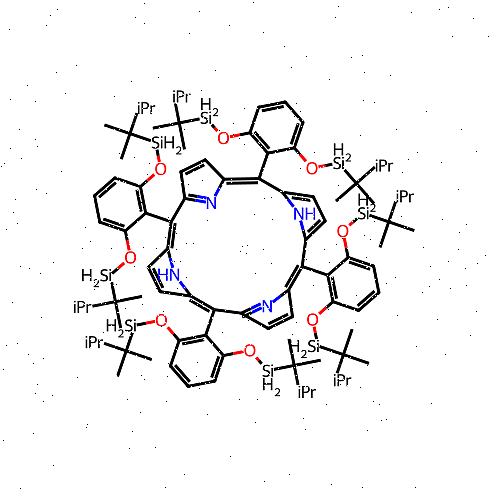 CC(C)C(C)(C)[SiH2]Oc1cccc(O[SiH2]C(C)(C)C(C)C)c1-c1c2nc(c(-c3c(O[SiH2]C(C)(C)C(C)C)cccc3O[SiH2]C(C)(C)C(C)C)c3ccc([nH]3)c(-c3c(O[SiH2]C(C)(C)C(C)C)cccc3O[SiH2]C(C)(C)C(C)C)c3nc(c(-c4c(O[SiH2]C(C)(C)C(C)C)cccc4O[SiH2]C(C)(C)C(C)C)c4ccc1[nH]4)C=C3)C=C2